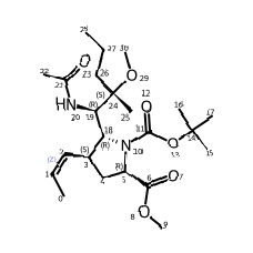 C/C=C\[C@@H]1C[C@H](C(=O)OC)N(C(=O)OC(C)(C)C)[C@H]1[C@@H](NC(C)=O)[C@](C)(CCC)OC